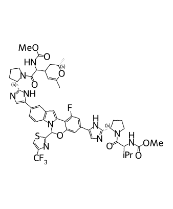 COC(=O)NC(C(=O)N1CCC[C@H]1c1ncc(-c2cc(F)c3c(c2)OC(c2nc(C(F)(F)F)cs2)n2c-3cc3cc(-c4cnc([C@@H]5CCCN5C(=O)C(NC(=O)OC)C5C=C(C)O[C@@H](C)C5)[nH]4)ccc32)[nH]1)C(C)C